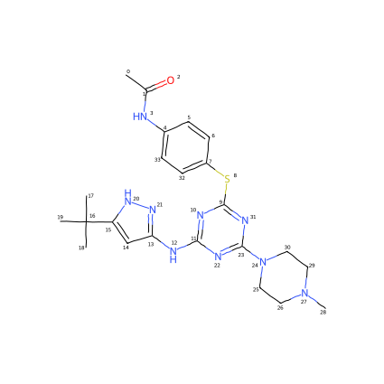 CC(=O)Nc1ccc(Sc2nc(Nc3cc(C(C)(C)C)[nH]n3)nc(N3CCN(C)CC3)n2)cc1